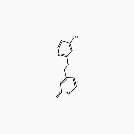 C=C/C=C(\C=C/N)CSc1nccc(O)n1